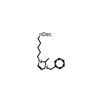 CCCCCCCCCCCCCCCN1C=CN(Cc2ccccc2)C1C